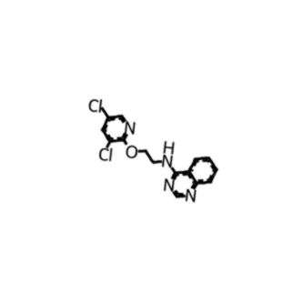 Clc1cnc(OCCNc2ncnc3ccccc23)c(Cl)c1